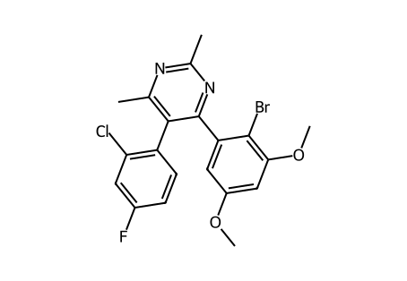 COc1cc(OC)c(Br)c(-c2nc(C)nc(C)c2-c2ccc(F)cc2Cl)c1